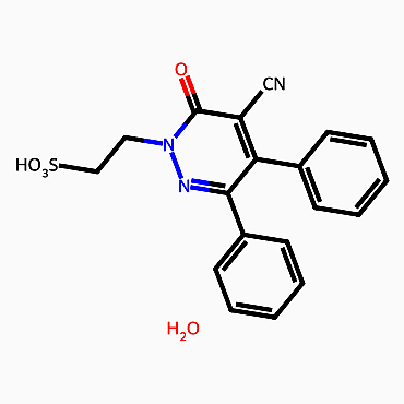 N#Cc1c(-c2ccccc2)c(-c2ccccc2)nn(CCS(=O)(=O)O)c1=O.O